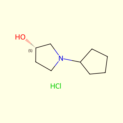 Cl.O[C@H]1CCN(C2CCCC2)C1